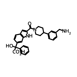 NCc1cccc(C2CCN(C(=O)c3cc4ccc(C(O)(C(=O)O)c5ccccc5)cc4[nH]3)CC2)c1